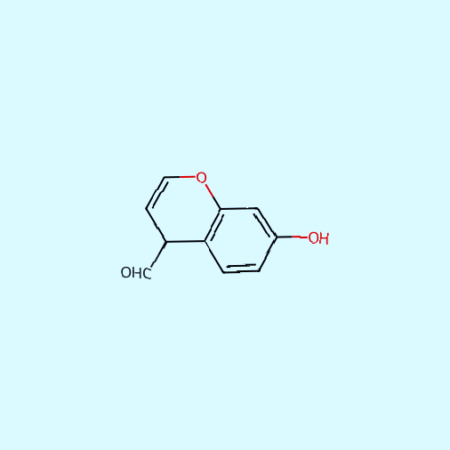 O=CC1C=COc2cc(O)ccc21